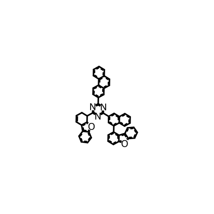 C1=Cc2c(oc3ccccc23)C(c2nc(-c3cc(-c4cccc5oc6ccccc6c45)c4ccccc4c3)nc(-c3ccc4c(ccc5ccccc54)c3)n2)C1